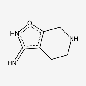 N=c1[nH]oc2c1CCNC2